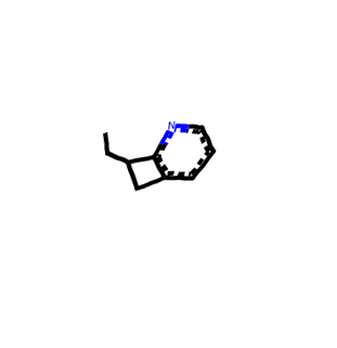 CCC1Cc2cccnc21